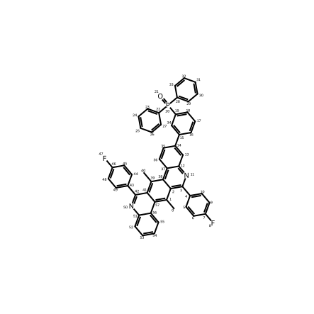 Cc1c2c(-c3ccc(F)cc3)nc3cc(-c4cccc(P(=O)(c5ccccc5)c5ccccc5)c4)ccc3c2c(C)c2c(-c3ccc(F)cc3)nc3ccccc3c12